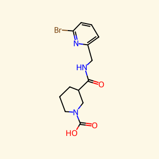 O=C(NCc1cccc(Br)n1)C1CCCN(C(=O)O)C1